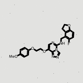 COc1ccc(OCCOc2cnc(NCc3c(F)ccc4c3CCO4)n3cnnc23)cc1